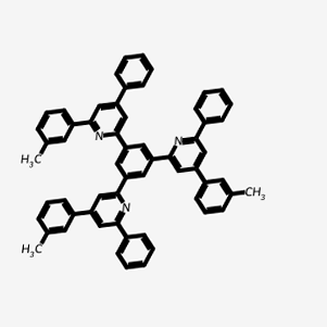 Cc1cccc(-c2cc(-c3ccccc3)nc(-c3cc(-c4cc(-c5cccc(C)c5)cc(-c5ccccc5)n4)cc(-c4cc(-c5ccccc5)cc(-c5cccc(C)c5)n4)c3)c2)c1